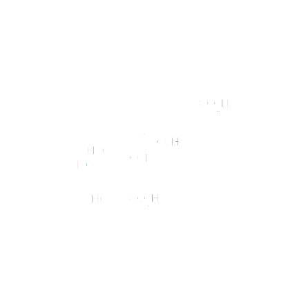 C=C(C)C(=O)O.O=C(O)CCCCCCCCC(=O)O.OCC(CO)(CO)CO